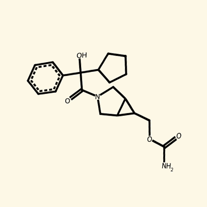 NC(=O)OCC1C2CN(C(=O)C(O)(c3ccccc3)C3CCCC3)CC12